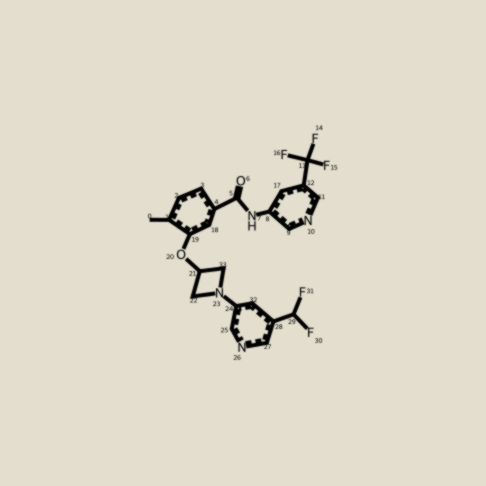 Cc1ccc(C(=O)Nc2cncc(C(F)(F)F)c2)cc1OC1CN(c2cncc(C(F)F)c2)C1